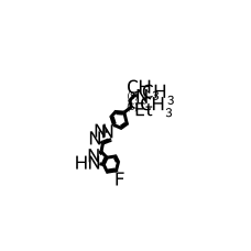 CC[C@@H](C[C@H](C)N(C)C)c1ccc(-n2cc(-c3n[nH]c4cc(F)ccc34)nn2)cc1